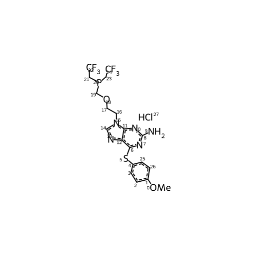 COc1ccc(Sc2nc(N)nc3c2ncn3CCOCP(CC(F)(F)F)CC(F)(F)F)cc1.Cl